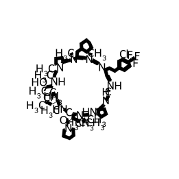 CC(C)C[C@@H]1NC[C@@H]([C@@H](C)O)NC(C)[C@H](C)N2CCCC2=CN(C)C(CC2CCCCC2)=CN(C)C=CN=C(CCc2ccc(C(F)(F)F)c(Cl)c2)C=CNCCNCC2(CCCC2)NC(C)[C@H](C(C)C)N2C(C)[C@H](C(=O)N3CCCCC3)C2CNC1C